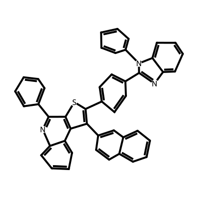 c1ccc(-c2nc3ccccc3c3c(-c4ccc5ccccc5c4)c(-c4ccc(-c5nc6ccccc6n5-c5ccccc5)cc4)sc23)cc1